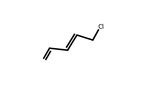 C=CC=CCCl